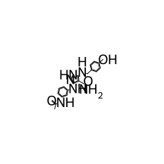 CC(=O)Nc1cccc(Nc2n[nH]c(NCc3ccc(O)cc3)c2C(N)=O)c1